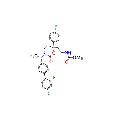 COC(=O)NCC[C@]1(c2ccc(F)cc2)CCN([C@@H](C)c2ccc(-c3ccc(F)cc3F)cc2)C(=O)O1